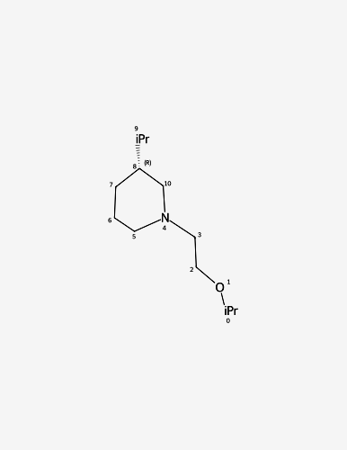 CC(C)OCCN1CCC[C@H](C(C)C)C1